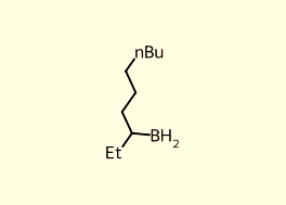 BC(CC)CCCCCCC